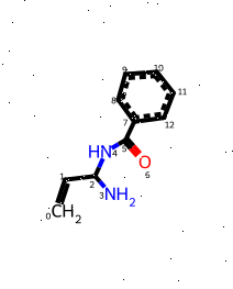 C=CC(N)NC(=O)c1ccccc1